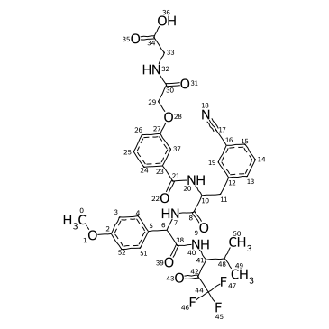 COc1ccc(C(NC(=O)C(Cc2cccc(C#N)c2)NC(=O)c2cccc(OCC(=O)NCC(=O)O)c2)C(=O)NC(C(=O)C(F)(F)F)C(C)C)cc1